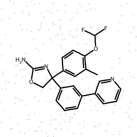 Cc1cc(C2(c3cccc(-c4cccnc4)c3)COC(N)=N2)ccc1OC(F)F